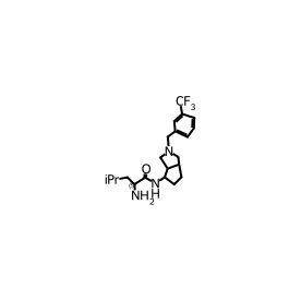 CC(C)C[C@H](N)C(=O)NC1CCC2CN(Cc3cccc(C(F)(F)F)c3)CC21